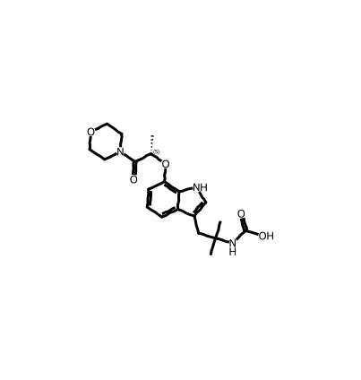 C[C@H](Oc1cccc2c(CC(C)(C)NC(=O)O)c[nH]c12)C(=O)N1CCOCC1